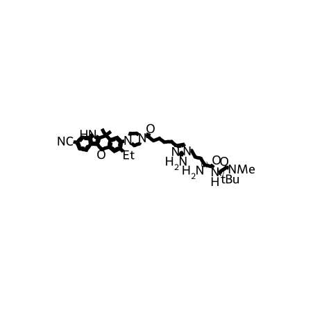 CCc1cc2c(cc1N1CCN(C(=O)CCCCc3cn(CCC[C@H](N)C(=O)N[C@H](C(=O)NC)C(C)(C)C)c(N)n3)CC1)C(C)(C)c1[nH]c3cc(C#N)ccc3c1C2=O